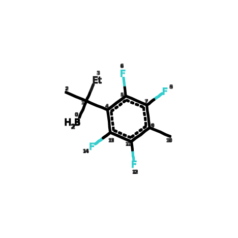 BC(C)(CC)c1c(F)c(F)c(C)c(F)c1F